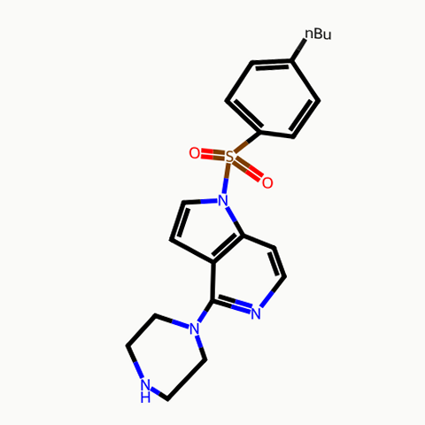 CCCCc1ccc(S(=O)(=O)n2ccc3c(N4CCNCC4)nccc32)cc1